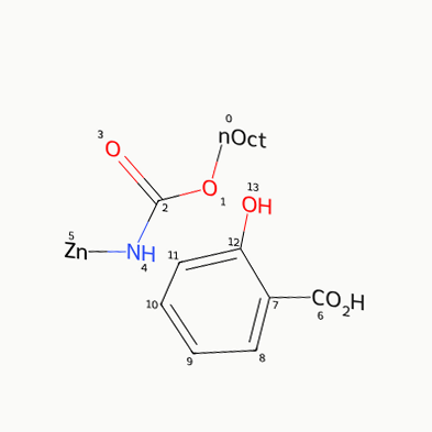 CCCCCCCCOC(=O)[NH][Zn].O=C(O)c1ccccc1O